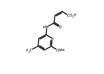 COc1cc(C(F)(F)F)cc(NC(=O)/C=C\C(=O)O)n1